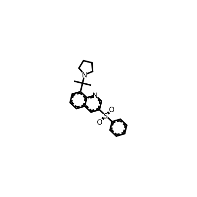 CC(C)(c1cccc2cc(S(=O)(=O)c3ccccc3)cnc12)N1CCCC1